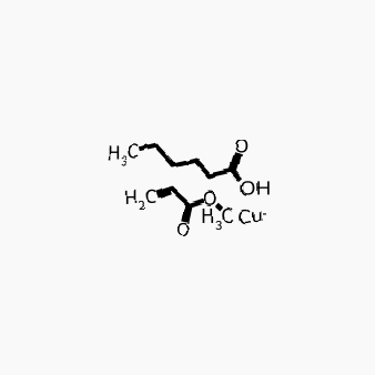 C=CC(=O)OC.CCCCCC(=O)O.[Cu]